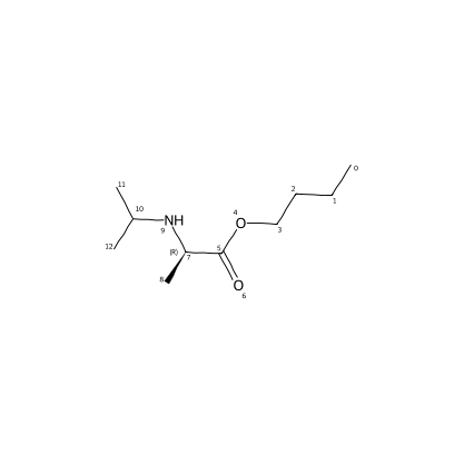 CCCCOC(=O)[C@@H](C)NC(C)C